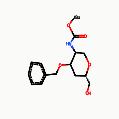 CC(C)(C)OC(=O)N[C@H]1CO[C@H](CO)CC1OCc1ccccc1